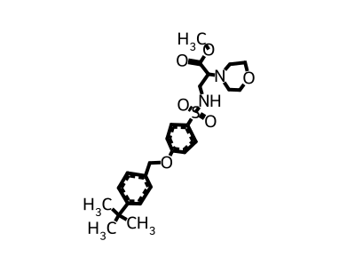 COC(=O)C(CNS(=O)(=O)c1ccc(OCc2ccc(C(C)(C)C)cc2)cc1)N1CCOCC1